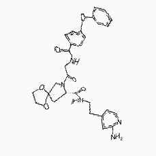 Nc1cc(CCNC(=O)[C@@H]2CC3(CN2C(=O)CNC(=O)c2ccc(Oc4ccccc4)cc2)OCCO3)ccn1